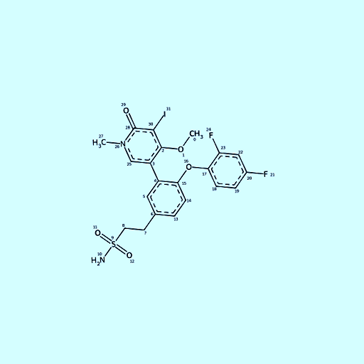 COc1c(-c2cc(CCS(N)(=O)=O)ccc2Oc2ccc(F)cc2F)cn(C)c(=O)c1I